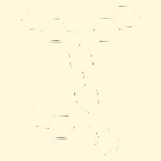 c1ccc(-n2c3ccc(-c4cc5c6cc7ccccc7cc6n6c7nc8ccccc8nc7c(c4)c56)cc3c3c4ccccc4ccc32)cc1